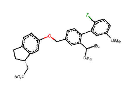 COc1ccc(F)c(-c2ccc(COc3ccc4c(c3)[C@H](CC(=O)O)CC4)cc2[C@H](OC)C(C)(C)C)c1